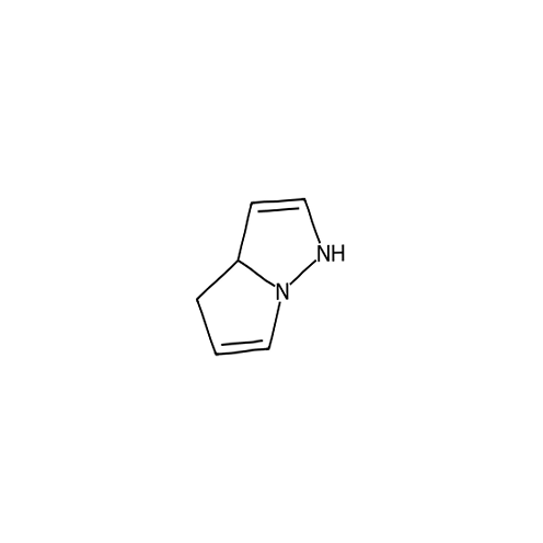 C1=CN2NC=CC2C1